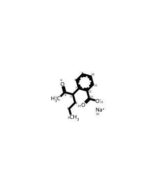 CCCC(C(C)=O)c1ccccc1C(=O)[O-].[Na+]